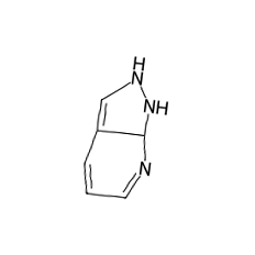 C1=CC2=CNNC2N=C1